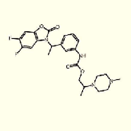 CC(COC(=O)Nc1cccc(C(C)n2c(=O)oc3cc(F)c(F)cc32)c1)N1CCN(C)CC1